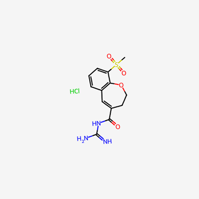 CS(=O)(=O)c1cccc2c1OCCC(C(=O)NC(=N)N)=C2.Cl